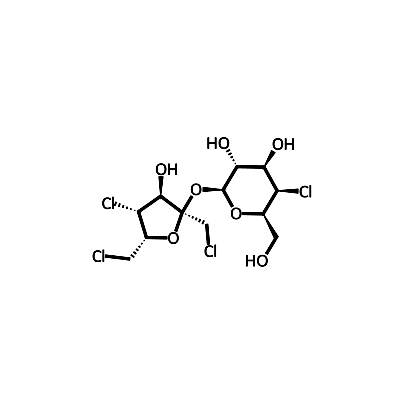 OC[C@H]1O[C@@H](O[C@@]2(CCl)O[C@H](CCl)[C@H](Cl)[C@H]2O)[C@H](O)[C@@H](O)[C@H]1Cl